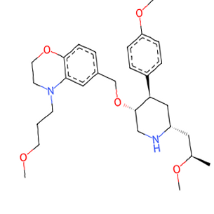 COCCCN1CCOc2ccc(CO[C@H]3CN[C@@H](C[C@@H](C)OC)C[C@@H]3c3ccc(OC)cc3)cc21